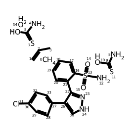 C.C=CC.NC(O)=S.NC(O)=S.NS(=O)(=O)c1ccccc1-c1n[nH]cc1-c1ccc(Cl)cc1.O